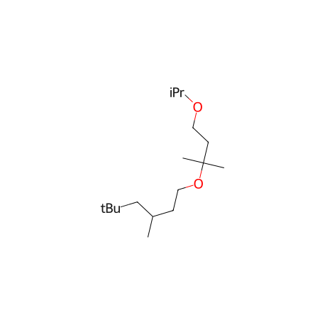 CC(CCOC(C)(C)CCOC(C)C)CC(C)(C)C